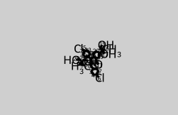 C[C@@H](c1ccc(Cl)cc1)N1C(=O)c2cc(C(C)(O)CO)ccc2[C@]1(OCC1(CO)CC1)c1ccc(Cl)cc1